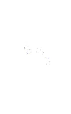 COc1cc2nccc(Oc3ccc(NC(=O)CC(=O)Nc4ccc(F)cc4F)cc3)c2cc1OC